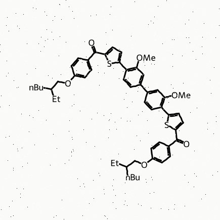 CCCCC(CC)COc1ccc(C(=O)c2ccc(-c3ccc(-c4ccc(-c5ccc(C(=O)c6ccc(OCC(CC)CCCC)cc6)s5)c(OC)c4)cc3OC)s2)cc1